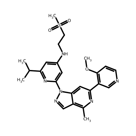 COc1ccncc1-c1cc2c(cnn2-c2cc(NCCS(C)(=O)=O)cc(C(C)C)n2)c(C)n1